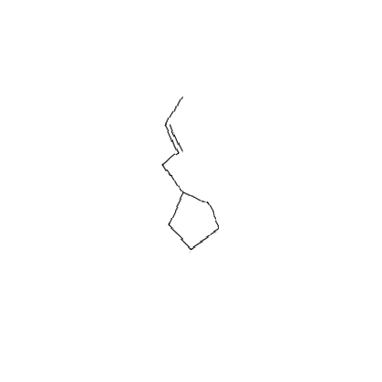 CC=CCC1C[CH]CC1